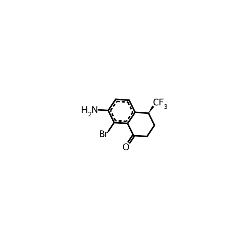 Nc1ccc2c(c1Br)C(=O)CC[C@@H]2C(F)(F)F